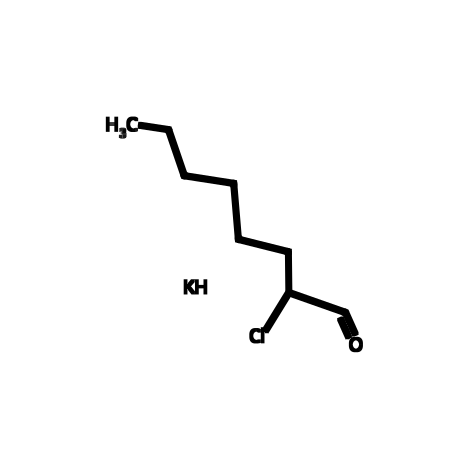 CCCCCCC(Cl)C=O.[KH]